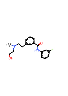 CN(CCO)CCc1cccc(C(=O)Nc2cccc(F)c2)c1